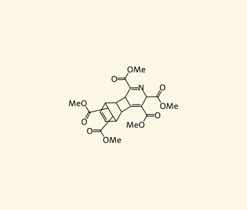 COC(=O)C1=NC(C(=O)OC)C(C(=O)OC)=C2C1C1C3C=CC(C(C(=O)OC)C3C(=O)OC)C21